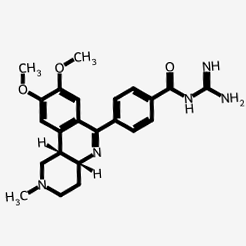 COc1cc2c(cc1OC)[C@H]1CN(C)CC[C@H]1N=C2c1ccc(C(=O)NC(=N)N)cc1